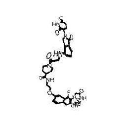 O=C1CCC(N2Cc3c(NCC(=O)N4CCC(C(=O)NCCOc5ccc6cc(O)c(N7CC(=O)NS7(=O)=O)c(F)c6c5)CC4)cccc3C2=O)C(=O)N1